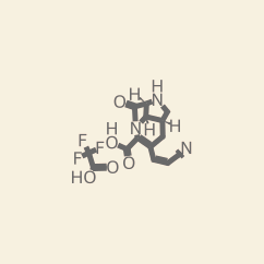 N#C/C=C\C1=C(C(=O)O)N2C(=O)[C@H]3NC[C@@H](C1)[C@H]32.O=C(O)C(F)(F)F